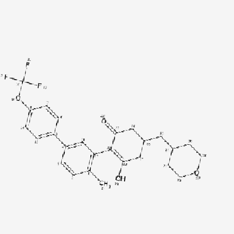 Cc1ccc(-c2ccc(OC(F)(F)F)cc2)cc1C1=C(O)CC(CC2CCOCC2)CC1=O